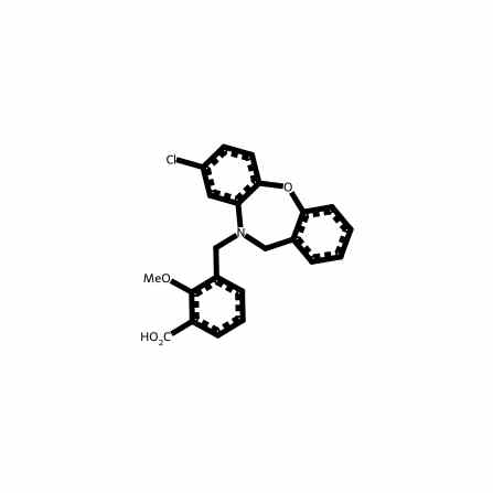 COc1c(CN2Cc3ccccc3Oc3ccc(Cl)cc32)cccc1C(=O)O